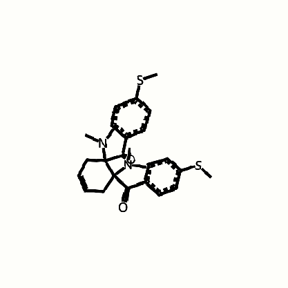 CSc1ccc(C(=O)C2(N(C)C)CC=CCC2(C(=O)c2ccc(SC)cc2)N(C)C)cc1